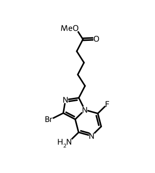 COC(=O)CCCCc1nc(Br)c2c(N)ncc(F)n12